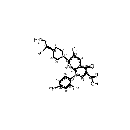 NCC(F)=C1CCN(c2nc3c(cc2F)c(=O)c(C(=O)O)cn3-c2ccc(F)cc2F)CC1